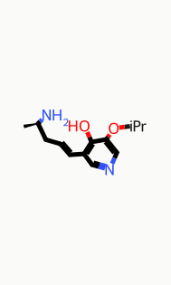 CC(C)Oc1cncc(C=CC[C@@H](C)N)c1O